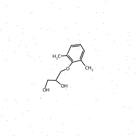 Cc1cccc(C)c1OCC(O)CO